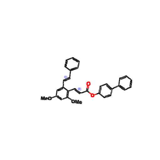 COc1cc(/C=C/c2ccccc2)c(/C=C/C(=O)Oc2ccc(-c3ccccc3)cc2)c(OC)c1